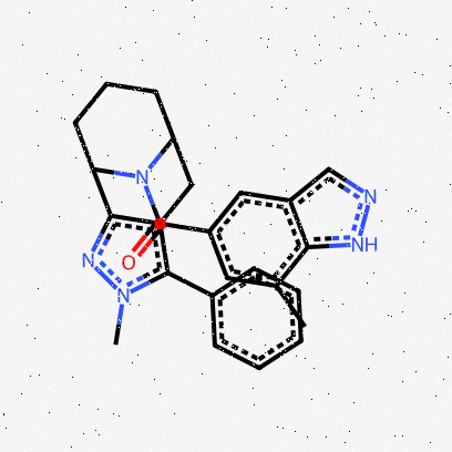 Cc1cc(C(=O)N2C3CCCC2c2nn(C)c(-c4ccccc4)c2C3)cc2cn[nH]c12